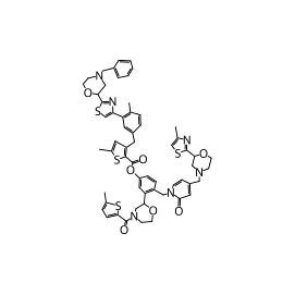 Cc1csc(C2CN(Cc3ccn(Cc4ccc(OC(=O)c5sc(C)cc5Cc5ccc(C)c(-c6csc(C7CN(Cc8ccccc8)CCO7)n6)c5)cc4C4CN(C(=O)c5ccc(C)s5)CCO4)c(=O)c3)CCO2)n1